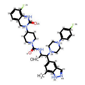 Cc1cc(C(C(C=O)NC(=O)N2CCC(N3Cc4cccc(F)c4NC3=O)CC2)N2CCN(c3ccc(F)cc3)CC2)cc2cn[nH]c12